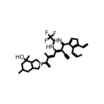 C#C/C(C(=N)C1=CCC(C=C)=C1/C=C\C)=C(\C=C(/C)C(=C)N1CC2CC(C)CC(C)(O)C2C1)NCC(F)(F)F